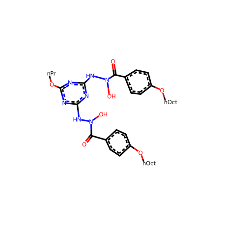 CCCCCCCCOc1ccc(C(=O)N(O)Nc2nc(NN(O)C(=O)c3ccc(OCCCCCCCC)cc3)nc(OCCC)n2)cc1